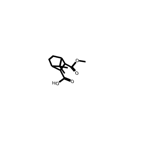 COC(=O)C1C(C(=O)O)C2CCC1C2(C)C